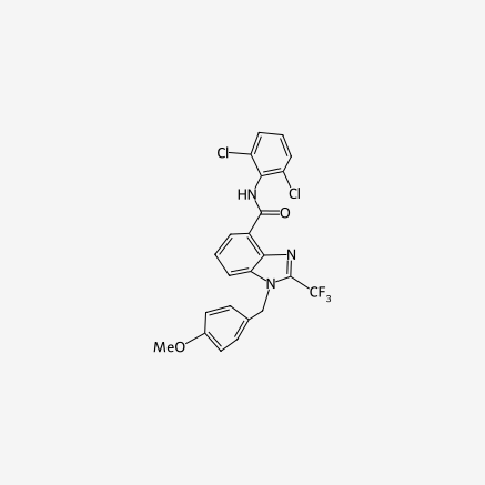 COc1ccc(Cn2c(C(F)(F)F)nc3c(C(=O)Nc4c(Cl)cccc4Cl)cccc32)cc1